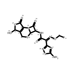 Nc1nc(C(=NOCF)C(=O)NC2C(=O)N3C4=C(CSC23)C(O)OC4=O)ns1